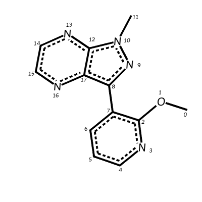 COc1ncccc1-c1nn(C)c2nccnc12